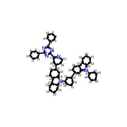 c1ccc(-c2nc(-c3ccccc3)nc(-c3cc(-c4ccc5c6ccccc6n(-c6cccc(-c7ccc8c9ccccc9n(-c9ccccc9)c8c7)c6)c5c4)ccn3)n2)cc1